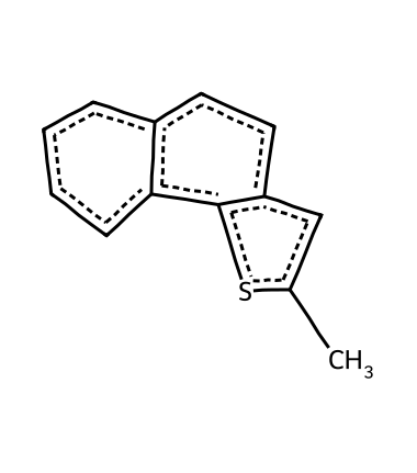 Cc1cc2ccc3ccccc3c2s1